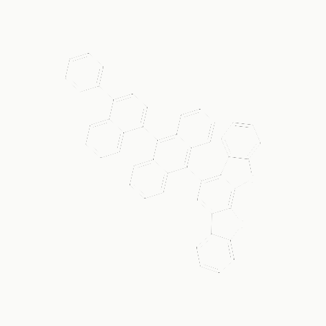 c1ccc(-c2ccc(-c3c4ccccc4c(-c4cc5c6ccccc6sc5c5sc6ccccc6c45)c4ccccc34)c3ccccc23)cc1